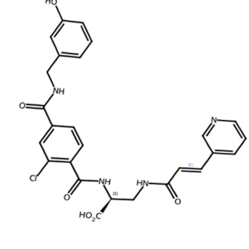 O=C(/C=C/c1cccnc1)NC[C@H](NC(=O)c1ccc(C(=O)NCc2cccc(O)c2)cc1Cl)C(=O)O